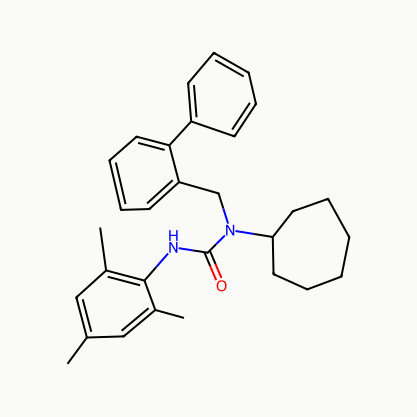 Cc1cc(C)c(NC(=O)N(Cc2ccccc2-c2ccccc2)C2CCCCCC2)c(C)c1